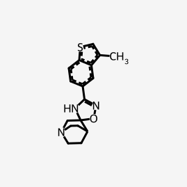 Cc1csc2ccc(C3=NOC4(CN5CCC4CC5)N3)cc12